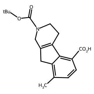 Cc1ccc(C(=O)O)c2c1CC1=C2CCN(C(=O)OC(C)(C)C)C1